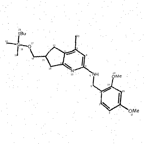 COc1ccc(CNc2cc(C)c3c(n2)CC(CO[Si](C)(C)C(C)(C)C)C3)c(OC)c1